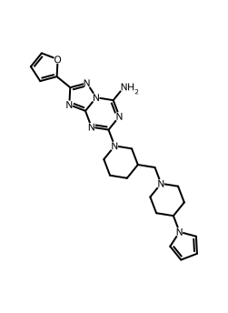 Nc1nc(N2CCCC(CN3CCC(n4cccc4)CC3)C2)nc2nc(-c3ccco3)nn12